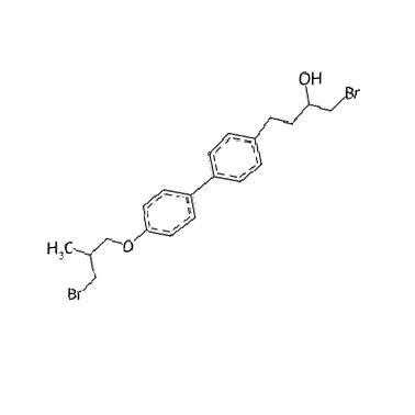 CC(CBr)COc1ccc(-c2ccc(CCC(O)CBr)cc2)cc1